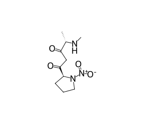 CN[C@@H](C)C(=O)CC(=O)[C@@H]1CCCN1[N+](=O)[O-]